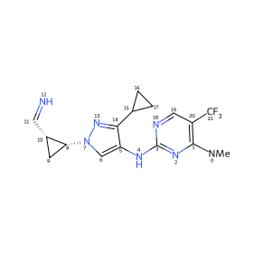 CNc1nc(Nc2cn([C@@H]3C[C@@H]3C=N)nc2C2CC2)ncc1C(F)(F)F